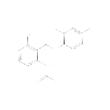 CCC(=O)Nc1cccc(CC)c1COc1ccc(C)cc1Br